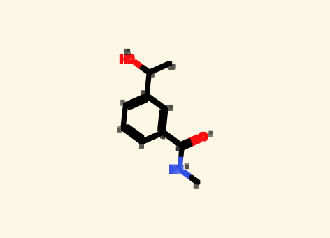 CNC(=O)c1cccc(C(C)O)c1